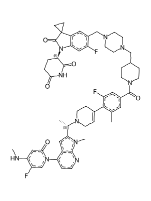 CNc1cc(=O)n(-c2ccnc3c2cc([C@H](C)N2CC=C(c4c(C)cc(C(=O)N5CCC(CN6CCN(Cc7cc8c(cc7F)N([C@@H]7CCC(=O)NC7=O)C(=O)C87CC7)CC6)CC5)cc4F)CC2)n3C)cc1F